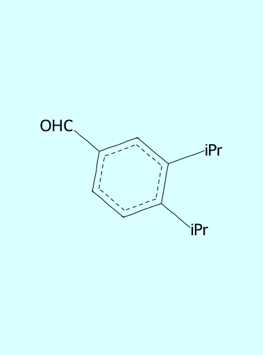 CC(C)c1ccc(C=O)cc1C(C)C